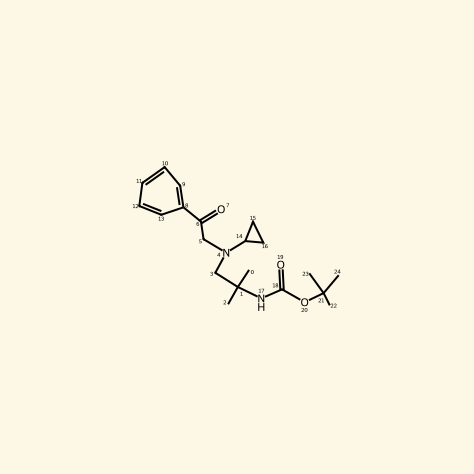 CC(C)(CN(CC(=O)c1ccccc1)C1CC1)NC(=O)OC(C)(C)C